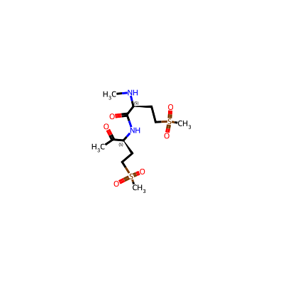 CN[C@@H](CCS(C)(=O)=O)C(=O)N[C@@H](CCS(C)(=O)=O)C(C)=O